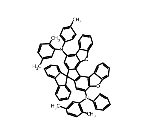 Cc1ccc(N(c2cc(C)ccc2C)c2cc3c(c4oc5ccccc5c24)-c2c(cc(N(c4ccccc4)c4cc(C)ccc4C)c4oc5ccccc5c24)C32c3ccccc3-c3ccccc32)cc1